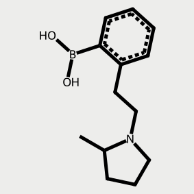 CC1CCCN1CCc1ccccc1B(O)O